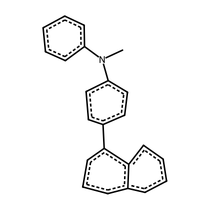 CN(c1ccccc1)c1ccc(-c2cccc3ccccc23)cc1